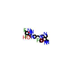 Cn1cc(-c2ccnc3c2C(=O)N(CCC2CCN(C[C@](O)(Cn4cncn4)c4ccc(F)cc4F)CC2)C3)c(-c2ccc(F)cc2)n1